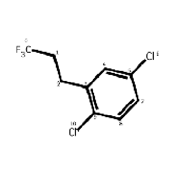 FC(F)(F)C[CH]c1cc(Cl)ccc1Cl